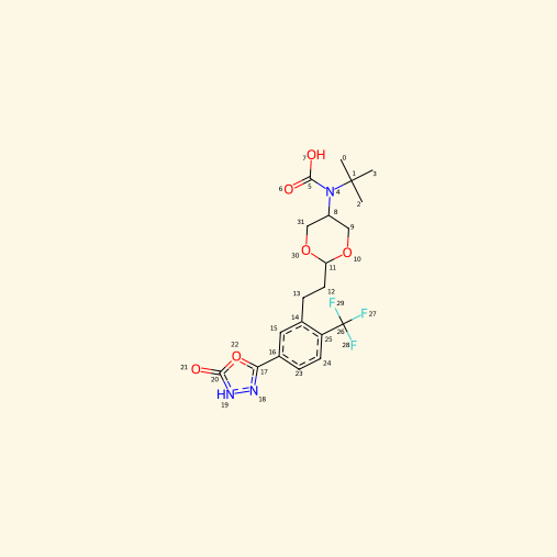 CC(C)(C)N(C(=O)O)C1COC(CCc2cc(-c3n[nH]c(=O)o3)ccc2C(F)(F)F)OC1